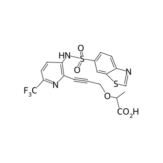 CC(OCC#Cc1nc(C(F)(F)F)ccc1NS(=O)(=O)c1ccc2ncsc2c1)C(=O)O